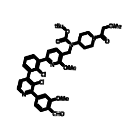 COCC(=O)N1CCC(N(Cc2ccc(-c3cccc(-c4ccnc(-c5ccc(C=O)c(OC)c5)c4Cl)c3Cl)nc2OC)C(=O)OC(C)(C)C)CC1